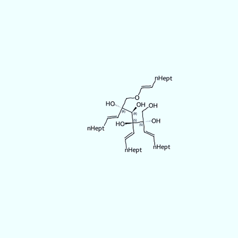 CCCCCCCC=COC[C@](O)(C=CCCCCCCC)[C@@H](O)[C@@](O)(C=CCCCCCCC)[C@](O)(C=CCCCCCCC)CO